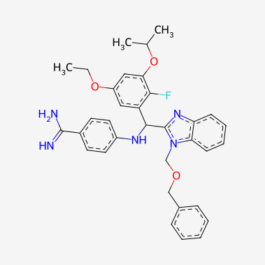 CCOc1cc(OC(C)C)c(F)c(C(Nc2ccc(C(=N)N)cc2)c2nc3ccccc3n2COCc2ccccc2)c1